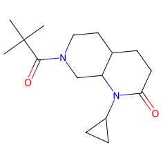 CC(C)(C)C(=O)N1CCC2CCC(=O)N(C3CC3)C2C1